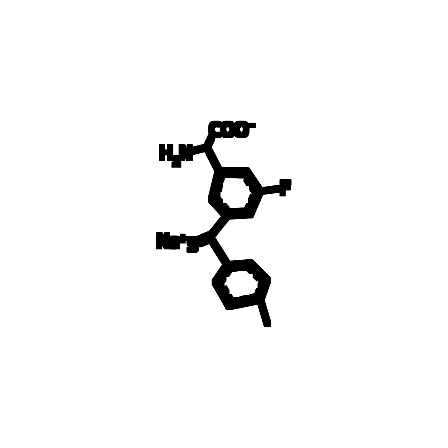 Cc1ccc(C(=S)c2cc(F)cc(C(N)C(=O)[O-])c2)cc1.[Na+]